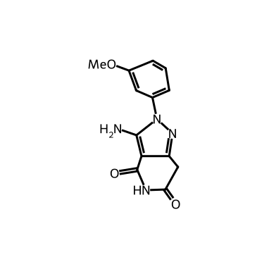 COc1cccc(-n2nc3c(c2N)C(=O)NC(=O)C3)c1